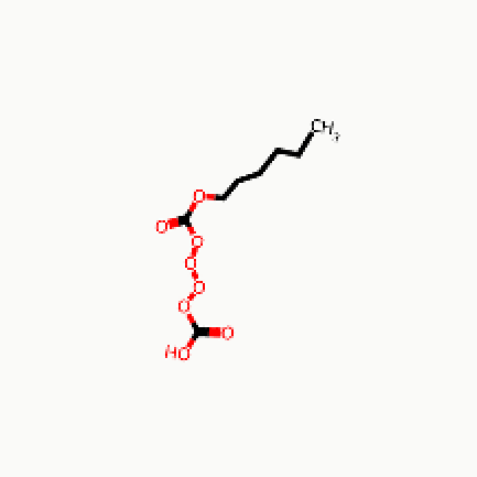 CCCCCCOC(=O)OOOOC(=O)O